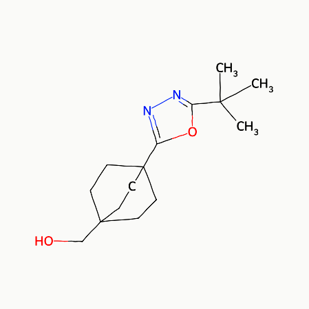 CC(C)(C)c1nnc(C23CCC(CO)(CC2)CC3)o1